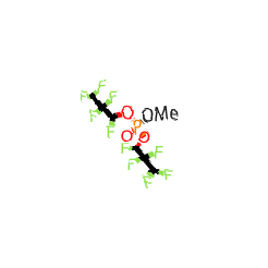 COP(=O)(OC(F)C(F)(F)C(F)F)OC(F)C(F)(F)C(F)F